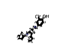 Cn1nccc1/N=N/c1sc(/N=N/c2ccc(O)c(Cl)c2)nc1-c1cccs1